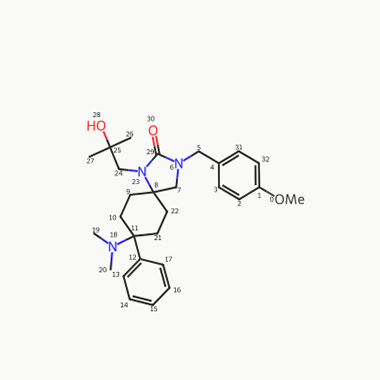 COc1ccc(CN2CC3(CCC(c4ccccc4)(N(C)C)CC3)N(CC(C)(C)O)C2=O)cc1